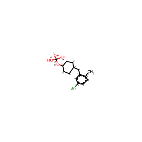 Cc1ccc(Br)cc1CC1CCC(OC(O)(O)O)CC1